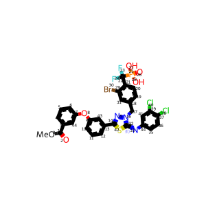 COC(=O)c1cccc(Oc2cccc(-c3nn(Cc4ccc(C(F)(F)P(=O)(O)O)c(Br)c4)/c(=N\c4ccc(Cl)c(Cl)c4)s3)c2)c1